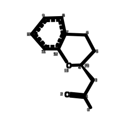 CC(=O)C[C@@H]1CCc2ccccc2O1